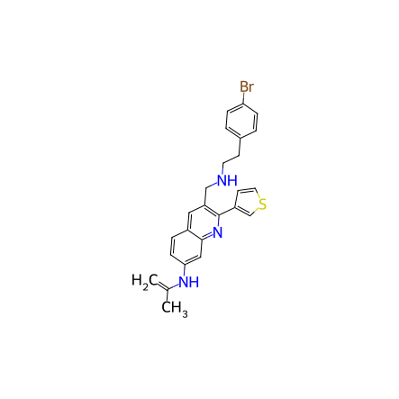 C=C(C)Nc1ccc2cc(CNCCc3ccc(Br)cc3)c(-c3ccsc3)nc2c1